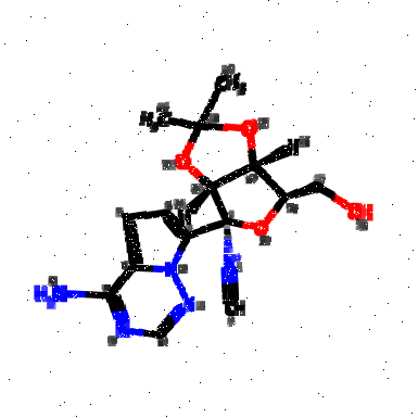 C#[N+][C@@]1(c2ccc3c(N)ncnn23)O[C@H](CO)[C@H]2OC(C)(C)O[C@H]21